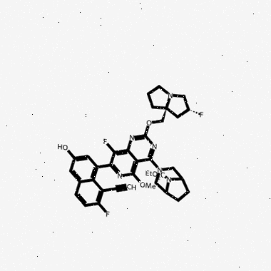 C#Cc1c(F)ccc2cc(O)cc(-c3nc(OC)c4c(N5CC6CCC(C5)N6C(=O)OCC)nc(OC[C@@]56CCCN5C[C@H](F)C6)nc4c3F)c12